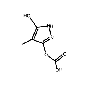 Cc1c(OC(=O)O)n[nH]c1O